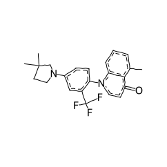 Cc1cccc2c1c(=O)ccn2-c1ccc(N2CCC(C)(C)C2)cc1C(F)(F)F